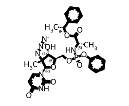 C[C@H](NP(=O)(OC[C@H]1O[C@@H](n2ccc(=O)[nH]c2=O)[C@](C)(N=[N+]=[N-])[C@@H]1O)Oc1ccccc1)C(=O)O[C@H](C)c1ccccc1